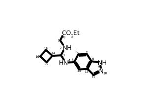 CCOC(=O)CNC(Nc1ccc2[nH]ncc2c1)C1CCC1